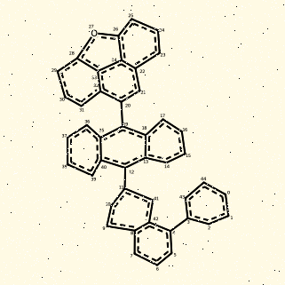 c1ccc(-c2cccc3ccc(-c4c5ccccc5c(-c5cc6cccc7oc8cccc5c8c67)c5ccccc45)cc23)cc1